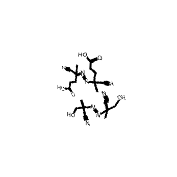 CC(C#N)(CCC(=O)O)N=NC(C)(C#N)CCC(=O)O.CC(C#N)(CO)N=NC(C)(C#N)CO